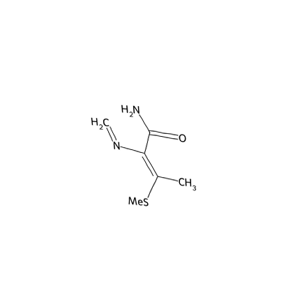 C=N/C(C(N)=O)=C(/C)SC